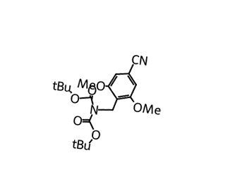 COc1cc(C#N)cc(OC)c1CN(C(=O)OC(C)(C)C)C(=O)OC(C)(C)C